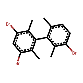 Cc1ccc(Br)c(C)c1-c1c(C)c(Br)cc(Br)c1C